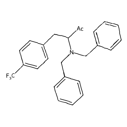 CC(=O)C(Cc1ccc(C(F)(F)F)cc1)N(Cc1ccccc1)Cc1ccccc1